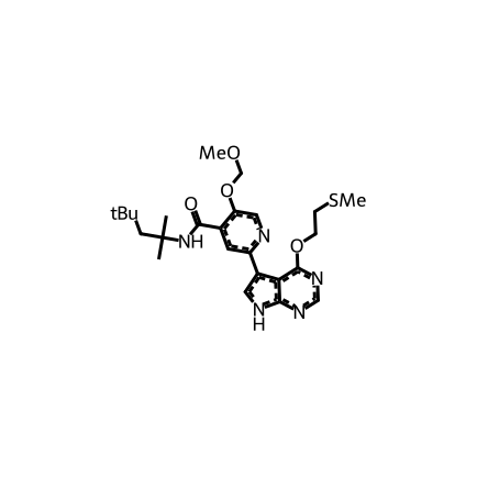 COCOc1cnc(-c2c[nH]c3ncnc(OCCSC)c23)cc1C(=O)NC(C)(C)CC(C)(C)C